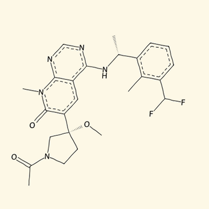 CO[C@]1(c2cc3c(N[C@H](C)c4cccc(C(F)F)c4C)ncnc3n(C)c2=O)CCN(C(C)=O)C1